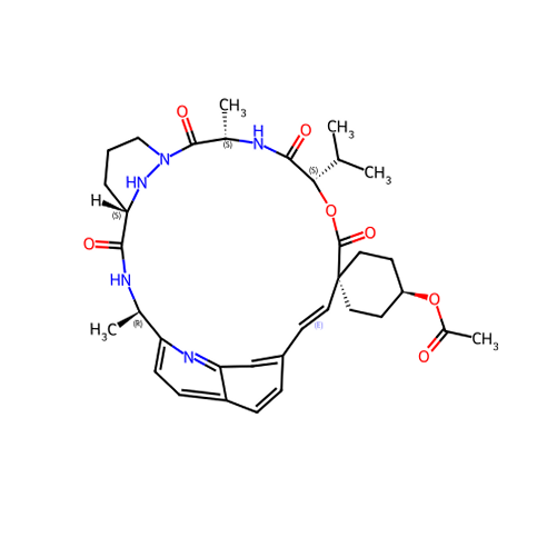 CC(=O)O[C@H]1CC[C@@]2(/C=C/c3ccc4ccc(nc4c3)[C@@H](C)NC(=O)[C@@H]3CCCN(N3)C(=O)[C@H](C)NC(=O)[C@H](C(C)C)OC2=O)CC1